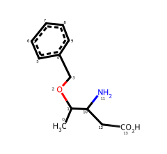 CC(OCc1ccccc1)C(N)CC(=O)O